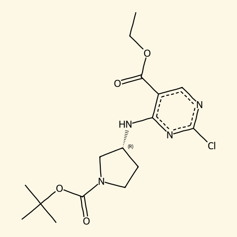 CCOC(=O)c1cnc(Cl)nc1N[C@@H]1CCN(C(=O)OC(C)(C)C)C1